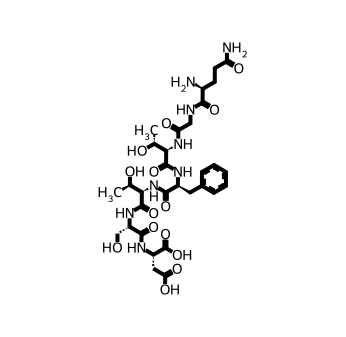 C[C@@H](O)[C@H](NC(=O)CNC(=O)[C@@H](N)CCC(N)=O)C(=O)N[C@@H](Cc1ccccc1)C(=O)N[C@H](C(=O)N[C@@H](CO)C(=O)N[C@@H](CC(=O)O)C(=O)O)[C@@H](C)O